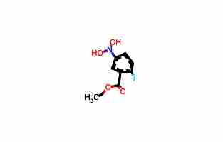 CCOC(=O)c1cc(N(O)O)ccc1F